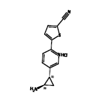 Cl.N#Cc1ccc(-c2ccc([C@@H]3C[C@H]3N)cn2)s1